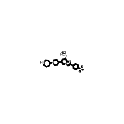 CS(=O)(=O)c1ccc(-c2cn3cc(C4CCN(C5CCCNCC5)CC4)cc(F)c3n2)cc1.Cl.Cl